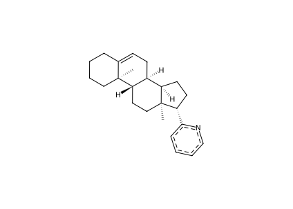 C[C@]12CC[C@H]3[C@@H](CC=C4CCCC[C@@]43C)[C@H]1CC[C@@H]2c1ccccn1